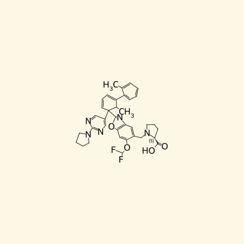 Cc1ccccc1C1=CC=CC(c2cnc(N3CCCC3)nc2)(c2nc3cc(CN4CCC[C@H]4C(=O)O)c(OC(F)F)cc3o2)C1C